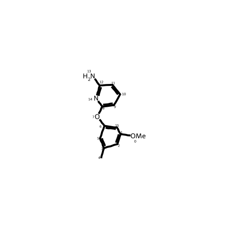 COc1cc(C)cc(Oc2cccc(N)n2)c1